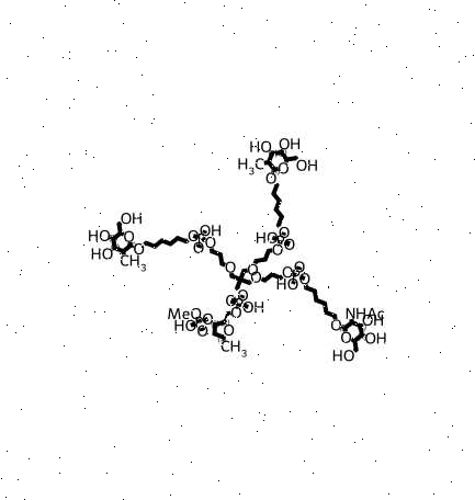 COP(=O)(O)O[C@H]1C[C@H](C)O[C@@H]1COP(=O)(O)OCC(COCCCOP(=O)(O)OCCCCCCO[C@@H]1OC(CO)[C@H](O)[C@H](O)C1C)(COCCCOP(=O)(O)OCCCCCCO[C@@H]1OC(CO)[C@H](O)[C@H](O)C1C)COCCCOP(=O)(O)OCCCCCCO[C@@H]1OC(CO)[C@H](O)[C@H](O)C1NC(C)=O